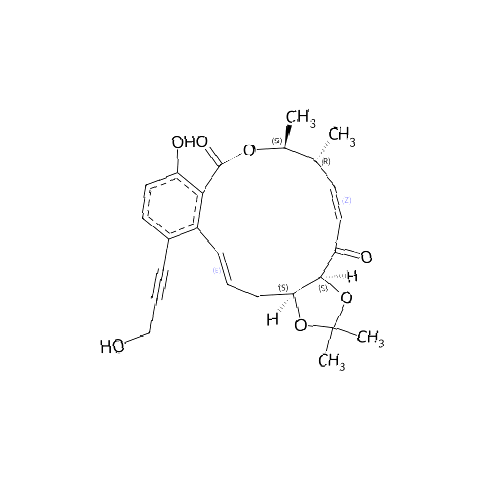 C[C@@H]1/C=C\C(=O)[C@H]2OC(C)(C)O[C@H]2C/C=C/c2c(C#CCO)ccc(O)c2C(=O)O[C@H]1C